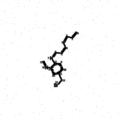 C=C\C=C/C=C\C=N/c1ccc(CBr)cc1N=C